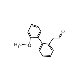 COc1ccccc1-c1ccccc1CC=O